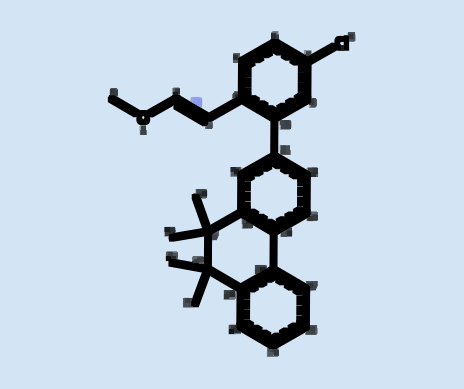 CO/C=C/c1ccc(Cl)cc1-c1ccc2c(c1)C(C)(C)C(C)(C)c1ccccc1-2